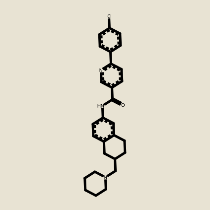 O=C(Nc1ccc2c(c1)CCC(CN1CCCCC1)C2)c1ccc(-c2ccc(Cl)cc2)nc1